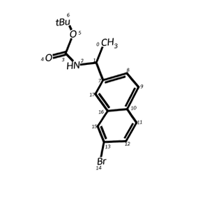 CC(NC(=O)OC(C)(C)C)c1ccc2ccc(Br)cc2c1